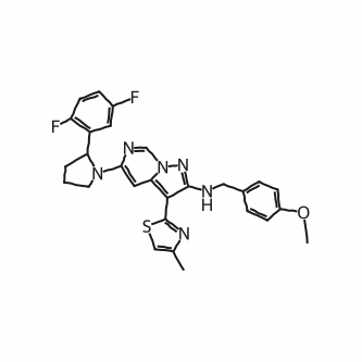 COc1ccc(CNc2nn3cnc(N4CCCC4c4cc(F)ccc4F)cc3c2-c2nc(C)cs2)cc1